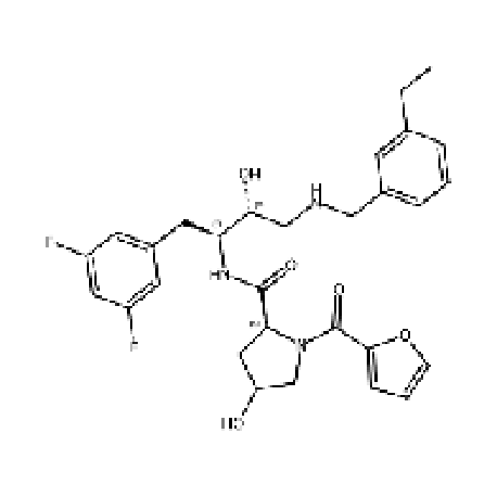 CCc1cccc(CNC[C@@H](O)[C@H](Cc2cc(F)cc(F)c2)NC(=O)[C@@H]2CC(O)CN2C(=O)c2ccco2)c1